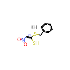 O=[N+]([O-])/C=C(\S)SCc1ccccc1.[KH]